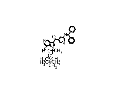 CC(C)(CO[Si](C)(C)C(C)(C)C)n1cc(C(=O)c2cncc(N=C(c3ccccc3)c3ccccc3)c2)c2cncc(F)c21